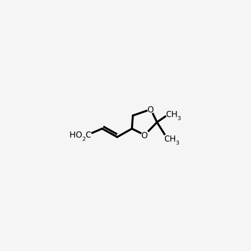 CC1(C)OCC(/C=C/C(=O)O)O1